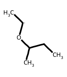 C[CH]OC(C)CC